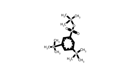 C[Si](C)(C)OS(=O)(=O)c1cc([Si](C)(C)C)cc([Si](C)(C)C)c1